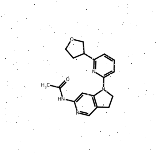 CC(=O)Nc1cc2c(cn1)CCN2c1cccc(C2CCOC2)n1